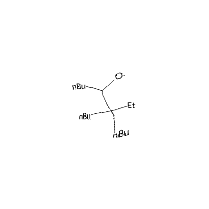 CCCCC([O])C(CC)(CCCC)CCCC